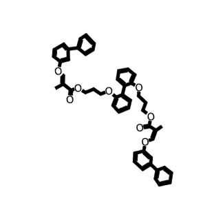 CC(=COc1cccc(-c2ccccc2)c1)C(=O)OCCCOc1ccccc1-c1ccccc1OCCCOC(=O)C(C)=COc1cccc(-c2ccccc2)c1